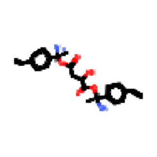 C=Cc1ccc([C@](C)(N)OC(=O)CC(O)C(=O)O[C@@](C)(N)c2ccc(C=C)cc2)cc1